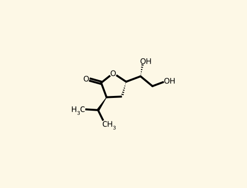 CC(C)[C@@H]1C[C@@H]([C@H](O)CO)OC1=O